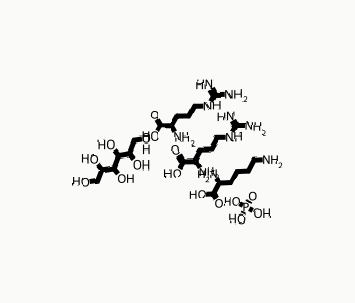 N=C(N)NCCCC(N)C(=O)O.N=C(N)NCCCC(N)C(=O)O.NCCCCC(N)C(=O)O.O=P(O)(O)O.OCC(O)C(O)C(O)C(O)CO